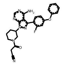 N#CCC(=O)N1CCCC(n2nc(-c3ccc(Oc4ccccc4)cc3F)c3c(N)ncnc32)C1